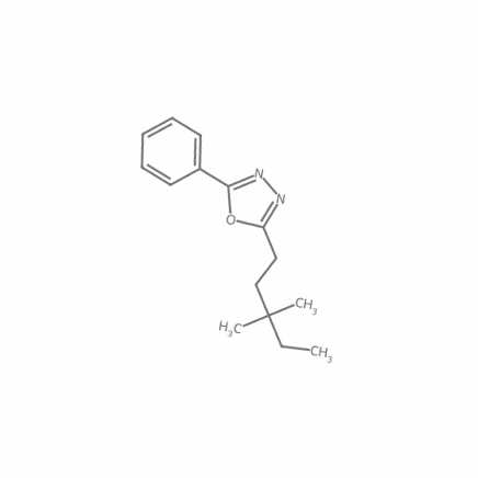 CCC(C)(C)CCc1nnc(-c2ccccc2)o1